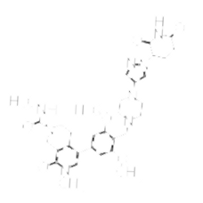 CNC(=O)N1CCc2c(-c3cc(OC)c(CN4CCN(c5cnn(C6CCC(=O)NC6=O)c5)CC4)c(OC)c3)cn(C)c(=O)c2C1